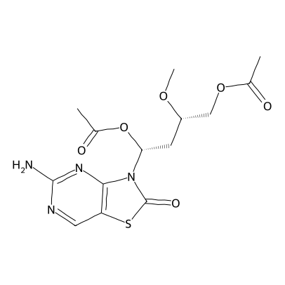 CO[C@H](COC(C)=O)C[C@@H](OC(C)=O)n1c(=O)sc2cnc(N)nc21